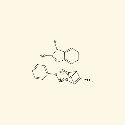 CC1=C2c3cn(-c4ccccc4)cc3C1[Si]2(C)C.CC1=Cc2ccccc2[CH]1[Zr]